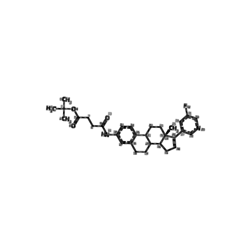 CC(C)(C)OC(=O)CCC(=O)Nc1ccc2c(c1)CCC1C2CC[C@]2(C)C(c3cncc(F)c3)=CCC12